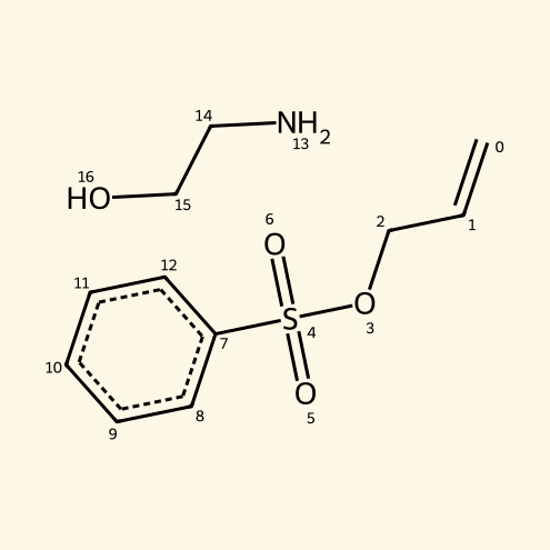 C=CCOS(=O)(=O)c1ccccc1.NCCO